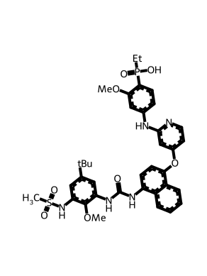 CCP(=O)(O)c1ccc(Nc2cc(Oc3ccc(NC(=O)Nc4cc(C(C)(C)C)cc(NS(C)(=O)=O)c4OC)c4ccccc34)ccn2)cc1OC